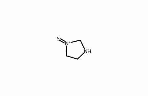 S=[N+]1CCNC1